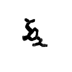 CN(C)C=C1CCN(OC(=O)C(C)(C)C)CC1=O